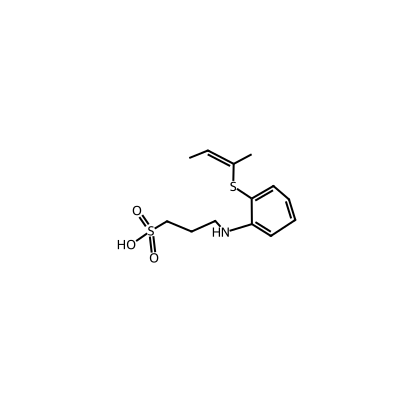 C/C=C(/C)Sc1ccccc1NCCCS(=O)(=O)O